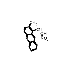 Cc1ccc2nc3ccccc3cc2c1C.O=[N+]([O-])O